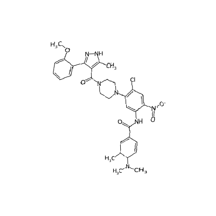 COc1ccccc1-c1n[nH]c(C)c1C(=O)N1CCN(c2cc(NC(=O)C3=CC(C)C(N(C)C)C=C3)c([N+](=O)[O-])cc2Cl)CC1